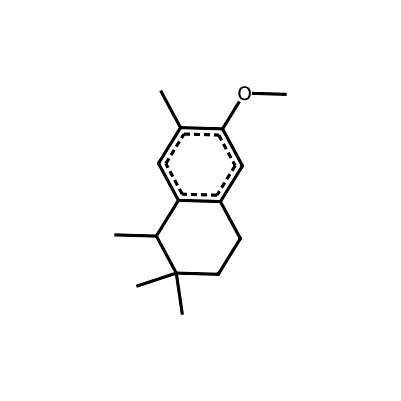 COc1cc2c(cc1C)C(C)C(C)(C)CC2